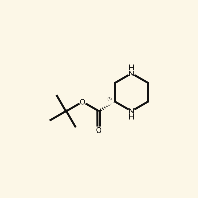 CC(C)(C)OC(=O)[C@@H]1CNCCN1